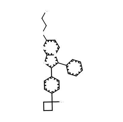 NCCOc1ccn2c(-c3ccccc3)c(-c3ccc(C4(N)CCC4)cc3)nc2n1